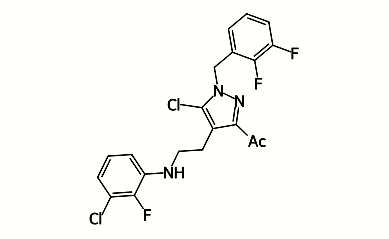 CC(=O)c1nn(Cc2cccc(F)c2F)c(Cl)c1CCNc1cccc(Cl)c1F